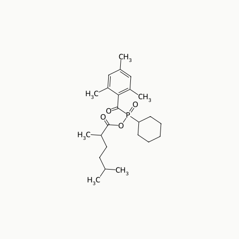 Cc1cc(C)c(C(=O)P(=O)(OC(=O)C(C)CCC(C)C)C2CCCCC2)c(C)c1